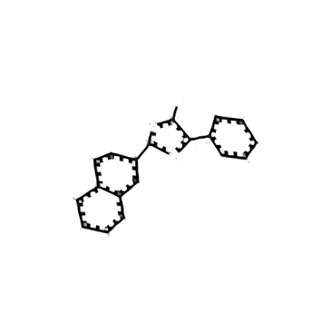 Clc1[nH]c(-c2ccc3ccccc3c2)nc1-c1ccccc1